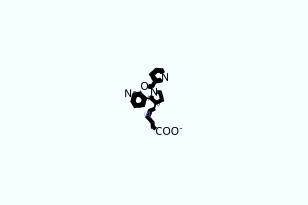 O=C([O-])CC/C=C\C[C@@H]1CCN(C(=O)c2cccnc2)[C@@H]1c1ccccc1.[Na+]